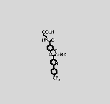 CCCCCCC(Oc1ccc(C(=O)NCCC(=O)O)cc1F)c1ccc(-c2ccc(C(F)(F)F)cc2)nc1